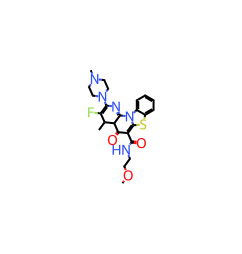 COCCNC(=O)C1=C2Sc3ccccc3N2C2=NC(N3CCN(C)CC3)=C(F)C(C)C2C1=O